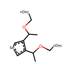 CCCCCCCCCCCOC(C)c1c[se]cc1C(C)OCCCCCCCCCCC